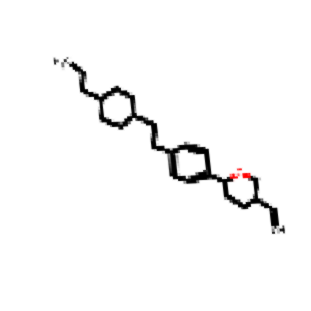 C=CC1CCC(c2ccc(CCC3CCC(CCC)CC3)cc2)OC1